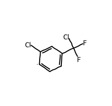 FC(F)(Cl)c1cc[c]c(Cl)c1